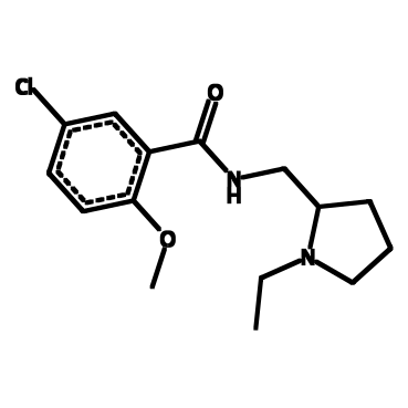 CCN1CCCC1CNC(=O)c1cc(Cl)ccc1OC